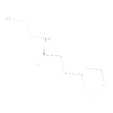 O=C(CCN1CCOCC1)NCCO